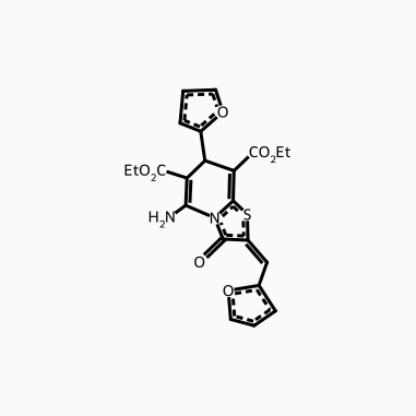 CCOC(=O)C1=C(N)n2c(sc(=Cc3ccco3)c2=O)=C(C(=O)OCC)C1c1ccco1